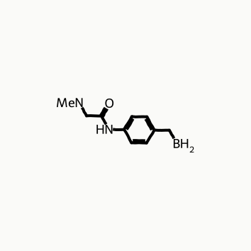 BCc1ccc(NC(=O)CNC)cc1